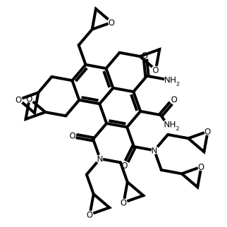 NC(=O)c1c(C(=O)N(CC2CO2)CC2CO2)c(C(=O)N(CC2CO2)CC2CO2)c2c(CC3CO3)c(CC3CO3)c(CC3CO3)c(CC3CO3)c2c1C(N)=O